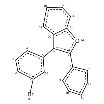 Brc1cccc(-c2c(-c3ccccc3)oc3ccccc23)c1